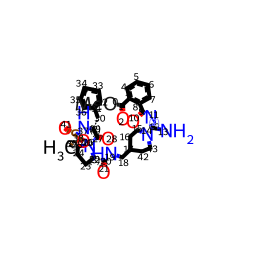 COC(=O)c1ccccc1C(=O)/N=C(/N)N1CCC(CNC(=O)[C@@H]2CCCN2C(=O)[C@@H](Cc2ccccc2)NS(C)(=O)=O)CC1